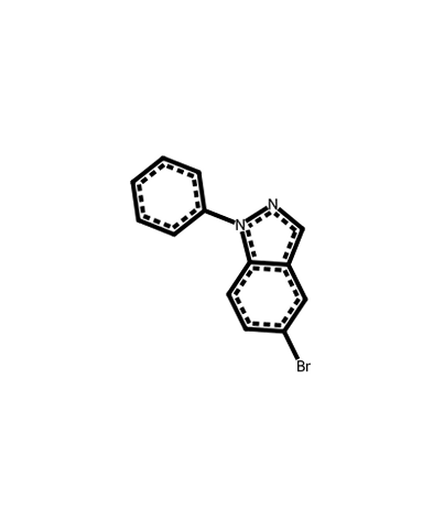 Brc1ccc2c(cnn2-c2ccccc2)c1